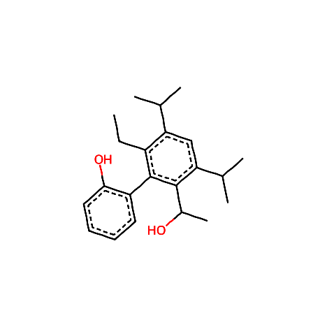 CCc1c(C(C)C)cc(C(C)C)c(C(C)O)c1-c1ccccc1O